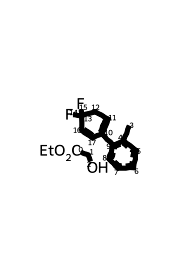 CCOC(=O)CO.Cc1ccccc1C1=CCC(F)(F)C=C1